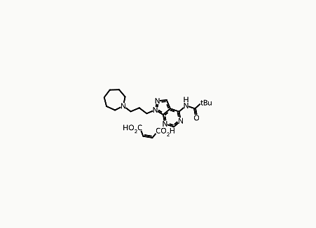 CC(C)(C)C(=O)Nc1ncnc2c1cnn2CCCN1CCCCCC1.O=C(O)/C=C\C(=O)O